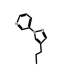 CCCc1cnn(-c2cccnc2)c1